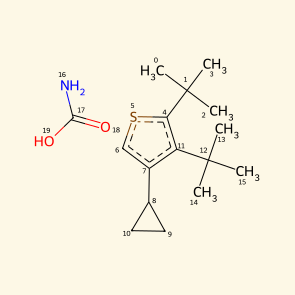 CC(C)(C)c1scc(C2CC2)c1C(C)(C)C.NC(=O)O